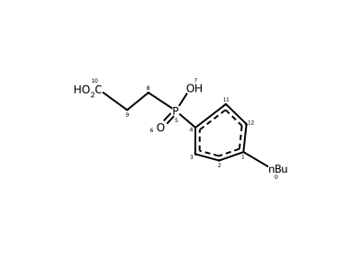 CCCCc1ccc(P(=O)(O)CCC(=O)O)cc1